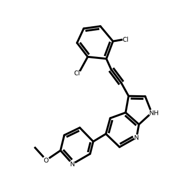 COc1ccc(-c2cnc3[nH]cc(C#Cc4c(Cl)cccc4Cl)c3c2)cn1